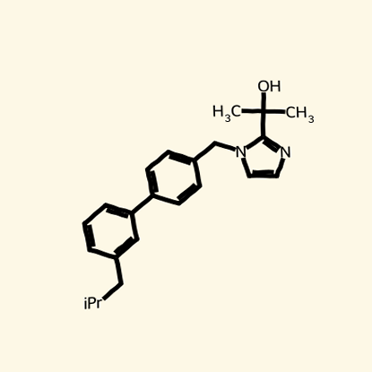 CC(C)Cc1cccc(-c2ccc(Cn3ccnc3C(C)(C)O)cc2)c1